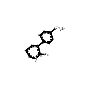 CCOC(=O)c1ccc(-c2cccnc2F)cc1